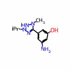 CC(C)N1N=C(c2cc(N)cc(O)c2)N(C)N1